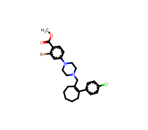 COC(=O)c1ccc(N2CCN(CC3=C(c4ccc(Cl)cc4)CCCCC3)CC2)cc1Br